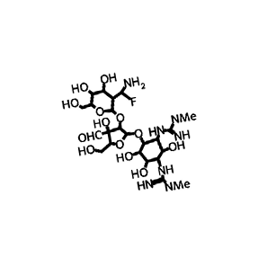 CNC(=N)NC1C(O)C(O)C(OC2OC(CO)C(O)(C=O)C2OC2OC(CO)C(O)C(O)C2C(N)F)C(NC(=N)NC)C1O